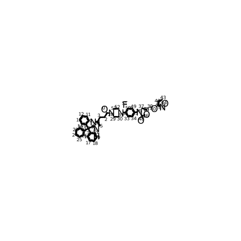 O=C(CCc1c[nH]c(C(c2ccccc2)(c2ccccc2)c2ccccc2)n1)N1CCN(c2ccc(N3C[C@H](COc4ccon4)OC3=O)cc2F)CC1